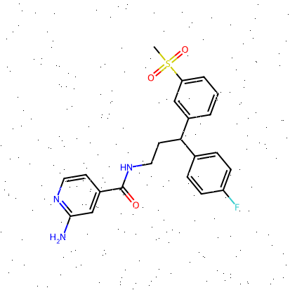 CS(=O)(=O)c1cccc(C(CCNC(=O)c2ccnc(N)c2)c2ccc(F)cc2)c1